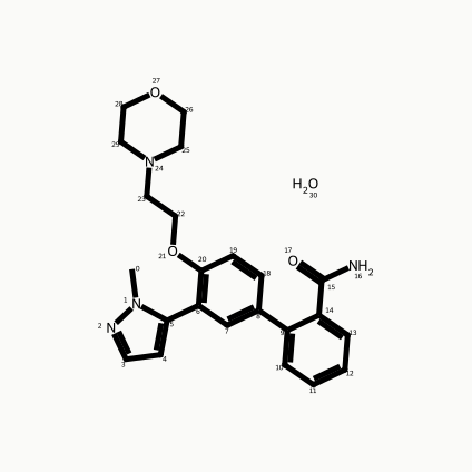 Cn1nccc1-c1cc(-c2ccccc2C(N)=O)ccc1OCCN1CCOCC1.O